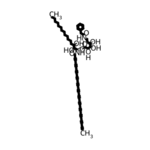 CC#CC#CC#CC#CC#CC#CC#CC#CC#CC#CC#CC#CC(=O)N[C@@H](CO[C@H]1OC(CNC(=O)Cc2ccccc2)[C@H](O)[C@H](O)C1O)[C@H](O)[C@H](O)CCCCCCCCCCCCCC